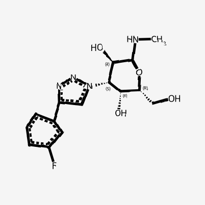 CNC1O[C@H](CO)[C@H](O)[C@H](n2cc(-c3cccc(F)c3)nn2)[C@H]1O